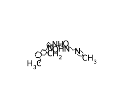 C=C1Cc2c(cccc2CC)C=C1C1=CCC(NC(=O)CCC(=O)NCCCN2CCC(C)CC2)=N1